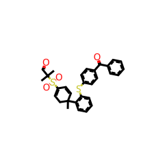 CC1(c2ccccc2Sc2ccc(C(=O)c3ccccc3)cc2)C=CC(S(=O)(=O)C(C)(C)C=O)=CC1